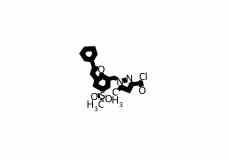 Cc1cc(C(=O)Cl)nn1Cc1cc(S(C)(=O)=O)cc2cc(-c3ccccc3)oc12